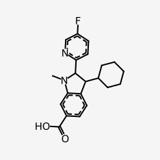 CN1c2cc(C(=O)O)ccc2C(C2CCCCC2)C1c1ccc(F)cn1